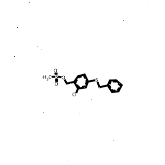 CS(=O)(=O)OCc1ccc(SCc2ccccc2)cc1Cl